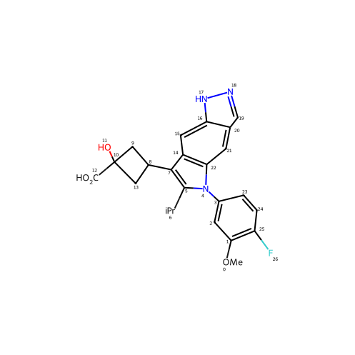 COc1cc(-n2c(C(C)C)c(C3CC(O)(C(=O)O)C3)c3cc4[nH]ncc4cc32)ccc1F